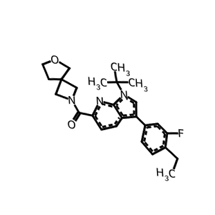 CCc1ccc(-c2cn(C(C)(C)C)c3nc(C(=O)N4CC5(CCOC5)C4)ccc23)cc1F